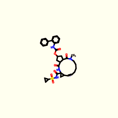 CN1CCCC/C=C\C2CC2(C(=O)NS(=O)(=O)C2CC2)NC(=O)C2CC(OC(=O)Nc3ccccc3-c3ccccc3)CC2C1=O